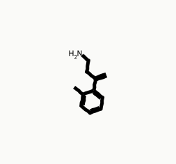 C=C(CCN)c1ccccc1C